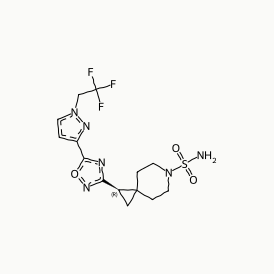 NS(=O)(=O)N1CCC2(CC1)C[C@H]2c1noc(-c2ccn(CC(F)(F)F)n2)n1